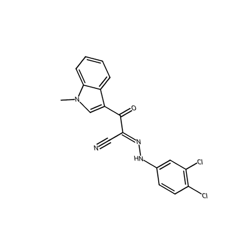 Cn1cc(C(=O)/C(C#N)=N/Nc2ccc(Cl)c(Cl)c2)c2ccccc21